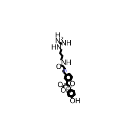 N=C(N)NCCCCNC(=O)/C=C/c1ccc2c(c1)[C@@H](C(=O)O)[C@H](c1ccc(O)cc1)O2